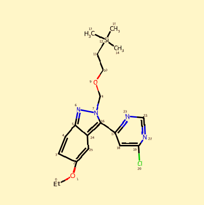 CCOc1ccc2nn(COCC[Si](C)(C)C)c(-c3cc(Cl)ncn3)c2c1